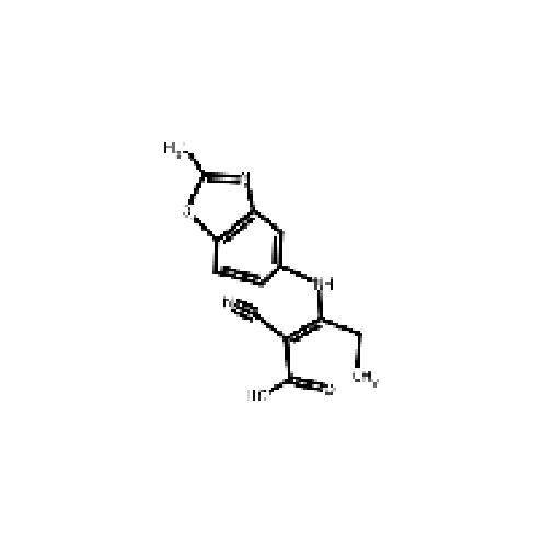 CCC(Nc1ccc2oc(C)nc2c1)=C(C#N)C(=O)O